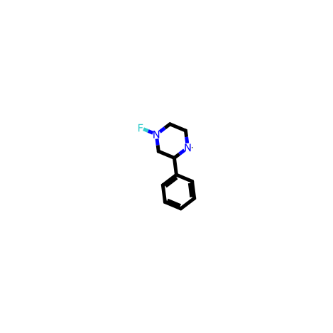 FN1CC[N]C(c2ccccc2)C1